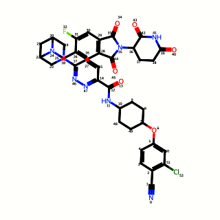 N#Cc1ccc(OC2CCC(NC(=O)c3ccc(N4CC5CC(C4)N5Cc4cc5c(cc4F)C(=O)N(C4CCC(=O)NC4=O)C5=O)nn3)CC2)cc1Cl